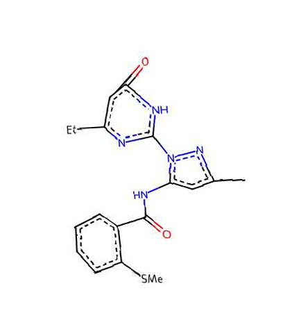 CCc1cc(=O)[nH]c(-n2nc(C)cc2NC(=O)c2ccccc2SC)n1